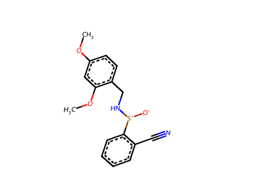 COc1ccc(CN[S+]([O-])c2ccccc2C#N)c(OC)c1